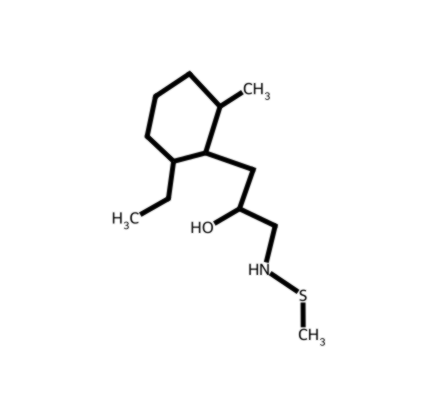 CCC1CCCC(C)C1CC(O)CNSC